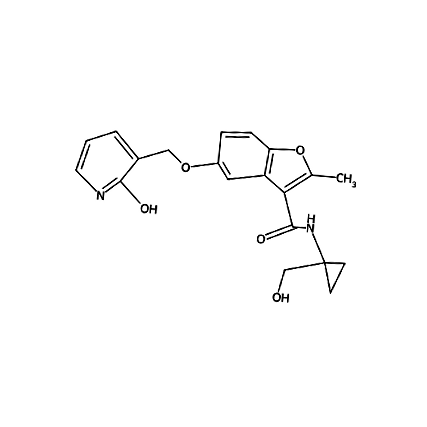 Cc1oc2ccc(OCc3cccnc3O)cc2c1C(=O)NC1(CO)CC1